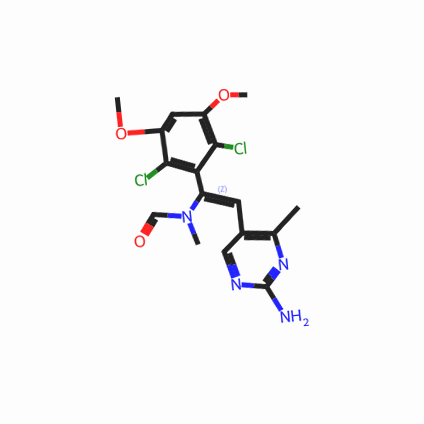 COc1cc(OC)c(Cl)c(/C(=C/c2cnc(N)nc2C)N(C)C=O)c1Cl